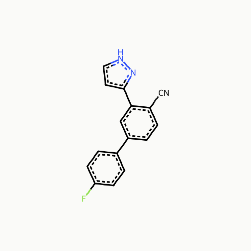 N#Cc1ccc(-c2ccc(F)cc2)cc1-c1cc[nH]n1